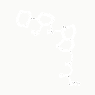 COC(=O)CNCc1cnc2c(Nc3cccc(-c4ccccc4)c3C)nccc2c1